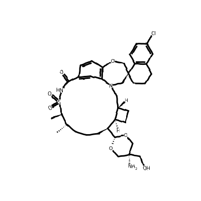 C[C@@H]1[C@@H](C)CCC[C@H]([C@H]2OC[C@](N)(CO)CO2)[C@@H]2CC[C@H]2CN2C[C@@]3(CCCc4cc(Cl)ccc43)COc3ccc(cc32)C(=O)NS1(=O)=O